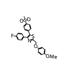 COc1ccc(OCc2nc(-c3ccc(F)cc3)c(-c3ccc(S(C)(=O)=O)cc3)s2)cc1